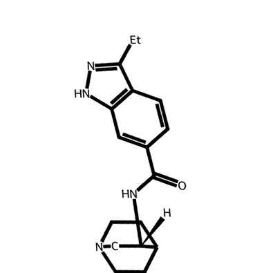 CCc1n[nH]c2cc(C(=O)N[C@H]3CN4CCC3CC4)ccc12